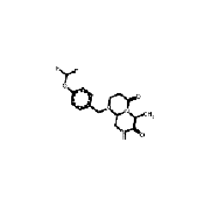 CC1C(=O)NCC2N(Cc3ccc(OC(F)F)cc3)CCC(=O)N12